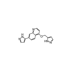 c1cc(COc2ccnc3cc(-c4ccn[nH]4)ccc23)[nH]n1